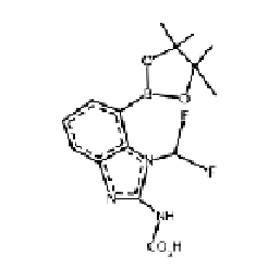 CC1(C)OB(c2cccc3nc(NC(=O)O)n(C(F)F)c23)OC1(C)C